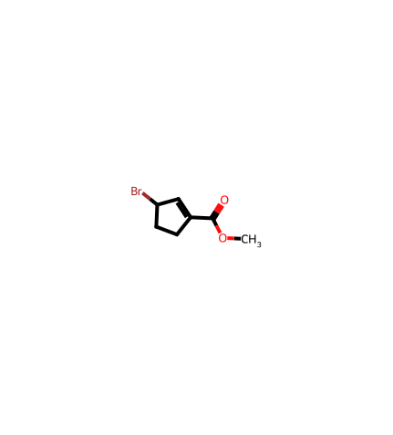 COC(=O)C1=CC(Br)CC1